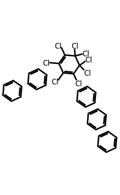 ClC1=C(Cl)C(Cl)(Cl)C(Cl)(Cl)C(Cl)=C1Cl.c1ccccc1.c1ccccc1.c1ccccc1.c1ccccc1.c1ccccc1